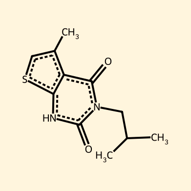 Cc1csc2[nH]c(=O)n(CC(C)C)c(=O)c12